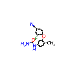 Cc1ccc(NC(N)=O)cc1Oc1ccc(C#N)cc1F